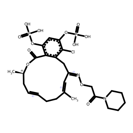 C/C1=C\C(=N/OCC(=O)N2CCCCC2)Cc2c(Cl)c(OP(=O)(O)O)cc(OP(=O)(O)O)c2C(=O)O[C@H](C)C/C=C/CC1